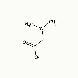 CN(C)CC([O])=O